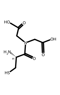 N[C@@H](CS)C(=O)N(CC(=O)O)CC(=O)O